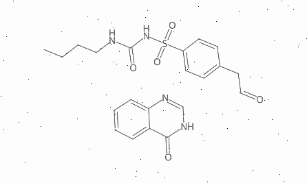 CCCCNC(=O)NS(=O)(=O)c1ccc(CC=O)cc1.O=c1[nH]cnc2ccccc12